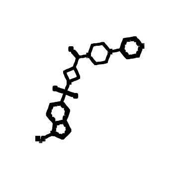 Cn1ccc2cc(S(=O)(=O)N3CC(C(=O)N4CCN(c5ccncc5)CC4)C3)ccc21